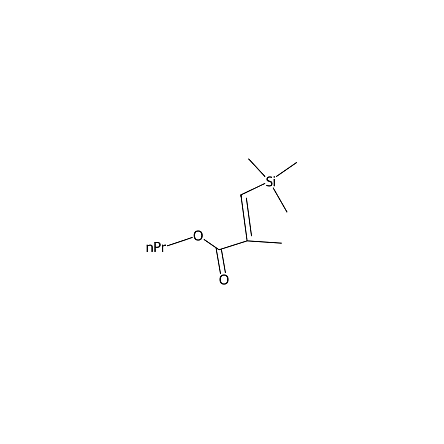 CCCOC(=O)C(C)=C[Si](C)(C)C